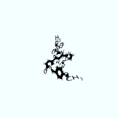 COc1ccc(Cn2cc(-c3cc(-c4ncco4)nc(S(C)(=O)=O)n3)ccc2=O)cc1OC